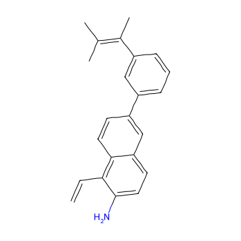 C=Cc1c(N)ccc2cc(-c3cccc(C(C)=C(C)C)c3)ccc12